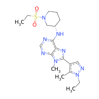 CCn1ncc(-c2nc3c(N[C@H]4CCCN(S(=O)(=O)CC)C4)ncnc3n2C)c1C